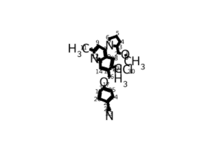 COCC1CCCN1c1cc(C)nc2cc(COc3ccc(C#N)cc3)c(C)cc12.Cl